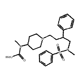 COC(=O)N(C)C1CCN(CCC(CN(C)S(=O)(=O)c2ccccc2)c2ccccc2)CC1